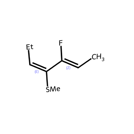 C/C=C(F)/C(=C\CC)SC